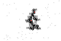 O=S(=O)(O)c1cccc(Nc2nc(Nc3cccc(S(=O)(=O)O)c3)nc(Nc3ccc(C=Cc4ccc(Nc5nc(Nc6cccc(S(=O)(=O)O)c6)nc(Nc6cccc(S(=O)(=O)O)c6)n5)cc4S(=O)(=O)O)c(S(=O)(=O)O)c3)n2)c1.[NaH]